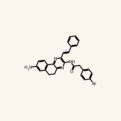 Nc1ccc2c(c1)CCc1nc(NC(=O)Cc3ccc(Br)cc3)c(/C=C/c3ccccc3)nc1-2